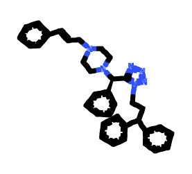 C(=C\c1ccccc1)/CN1CCN([C@H](c2ccccc2)c2nnnn2CCC(c2ccccc2)c2ccccc2)CC1